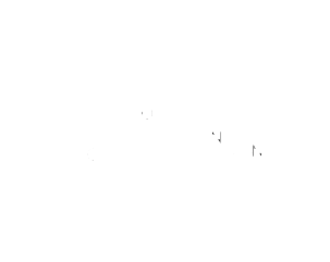 Cc1c(-c2ccccc2Cn2ccnc2)oc2ccccc12